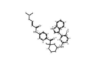 CN(C)C/C=C/C(=O)Nc1ccc(C(=O)C2(C)CCCC(Nc3ncc(Cl)c(-c4c[nH]c5ccccc45)n3)C2)nc1